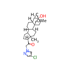 COC[C@]12CC[C@@](C)(O)C[C@H]1CC[C@H]1[C@@H]3CC[C@H](C(=O)Cn4cc(Cl)cn4)[C@@]3(C)CC[C@@H]12